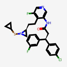 O=C(C[C@@H](c1ccc(Cl)cc1)c1cccc(F)c1)Nc1cncc(F)c1CC[C@H]1CN1SC1CC1